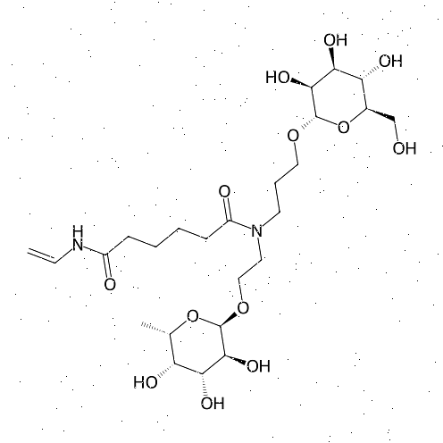 C=CNC(=O)CCCCC(=O)N(CCCO[C@H]1O[C@H](CO)[C@@H](O)[C@H](O)[C@@H]1O)CCO[C@@H]1O[C@@H](C)[C@@H](O)[C@@H](O)[C@@H]1O